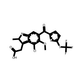 COc1c(C(=O)c2ccc(SC(F)(F)F)s2)cc2c(c1Cl)=C(CC(=O)O)C(C)N=2